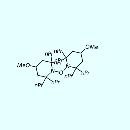 CCCC1(CCC)CC(OC)CC(CCC)(CCC)N1ON1C(CCC)(CCC)CC(OC)CC1(CCC)CCC